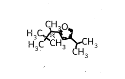 CC(C)c1coc([C@H](C)C(C)(C)C)c1